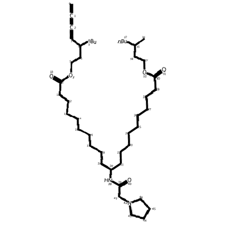 C=C=C=CC(CCCC)CCOC(=O)CCCCCCCCCC(CCCCCCCCCC(=O)OCCC(C)CCCC)NC(=O)CN1CCCC1